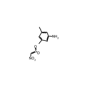 Cc1cc(C)cc(N)c1.O=[N+]([O-])C=S(=O)=O